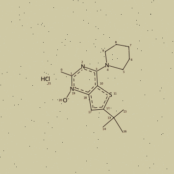 Cc1nc(N2CCCCC2)c2sc(C(C)(C)C)cc2[n+]1[O-].Cl